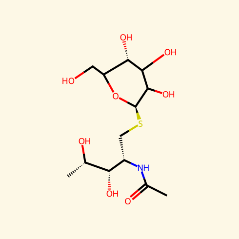 CC(=O)N[C@@H](CS[C@H]1OC(CO)[C@H](O)C(O)C1O)[C@H](O)[C@H](C)O